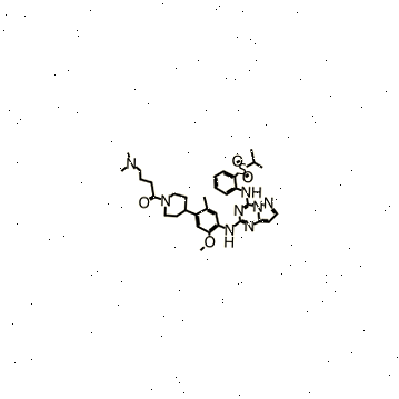 COc1cc(C2CCN(C(=O)CCCN(C)C)CC2)c(C)cc1Nc1nc(Nc2ccccc2S(=O)(=O)C(C)C)n2nccc2n1